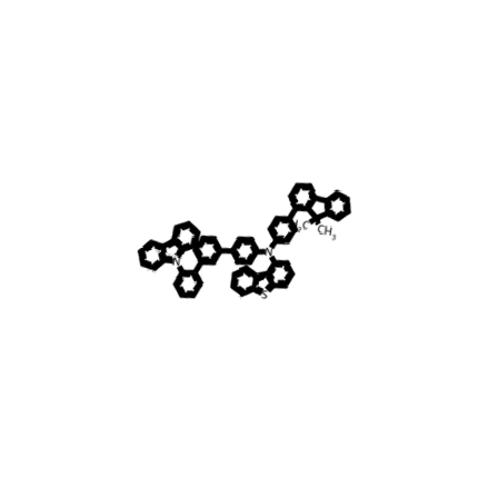 CC1(C)c2ccccc2-c2cccc(-c3ccc(N(c4ccc(-c5cccc(-c6ccccc6-n6c7ccccc7c7ccccc76)c5)cc4)c4cccc5sc6ccccc6c45)cc3)c21